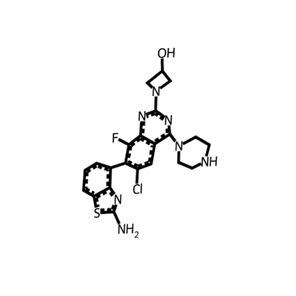 Nc1nc2c(-c3c(Cl)cc4c(N5CCNCC5)nc(N5CC(O)C5)nc4c3F)cccc2s1